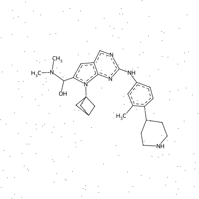 Cc1cc(Nc2ncc3cc(C(O)N(C)C)n(C45CC(C4)C5)c3n2)ccc1C1CCNCC1